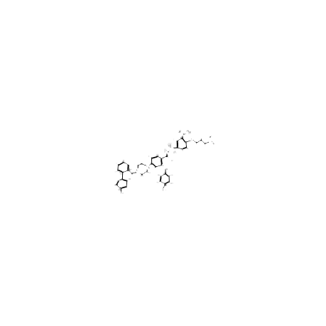 CN(C)CCCNc1ccc(S(=O)(=O)NC(=O)c2ccc(N3CCN(Cc4ccccc4-c4ccc(Cl)cc4)CC3)cc2Oc2ccc(Cl)cc2)cc1[N+](=O)[O-]